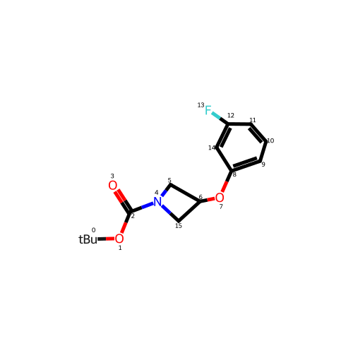 CC(C)(C)OC(=O)N1CC(Oc2cccc(F)c2)C1